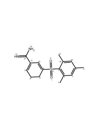 Cc1cc(C)c(S(=O)(=O)C2=CC(C(=N)N)=CC[CH]2)c(C)c1